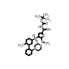 CSc1sc(C(=N)NC(=O)OC(C)(C)C)cc1S(=O)(=O)c1ccc(C)c(-c2ccccc2N2CCOCC2)c1